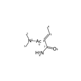 CC(=O)N(C)C.CC=CC(N)=O